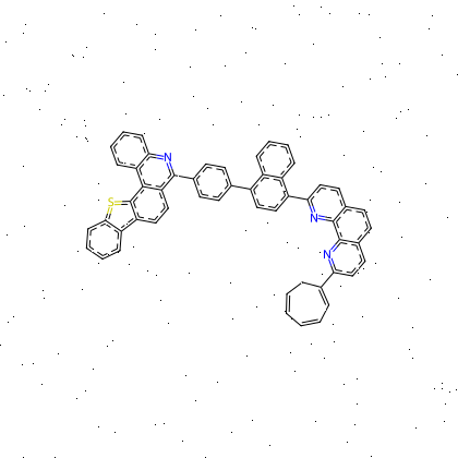 C1=CC=C(c2ccc3ccc4ccc(-c5ccc(-c6ccc(-c7nc8ccccc8c8c7ccc7c9ccccc9sc78)cc6)c6ccccc56)nc4c3n2)CC=C1